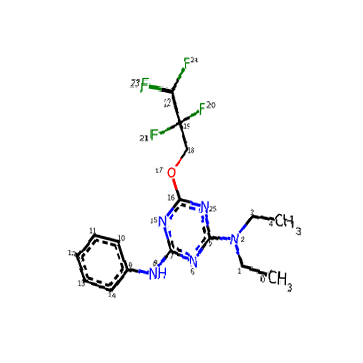 CCN(CC)c1nc(Nc2ccccc2)nc(OCC(F)(F)C(F)F)n1